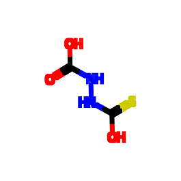 O=C(O)NNC(O)=S